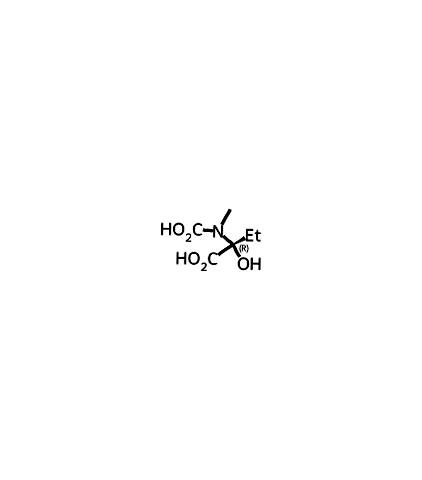 CC[C@@](O)(C(=O)O)N(C)C(=O)O